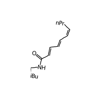 CCC\C=C/C=C/C=C/C(=O)NC[C@@H](C)CC